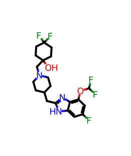 OC1(CN2CCC(Cc3nc4c(OC(F)F)cc(F)cc4[nH]3)CC2)CCC(F)(F)CC1